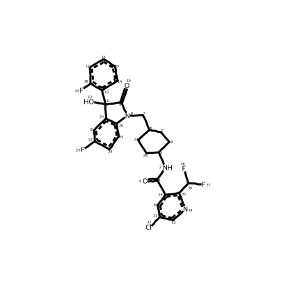 O=C(NC1CCC(CN2C(=O)C(O)(c3ccccc3F)c3cc(F)ccc32)CC1)c1cc(Cl)cnc1C(F)F